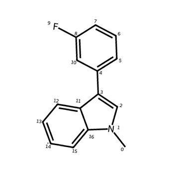 Cn1cc(-c2cccc(F)c2)c2cc[c]cc21